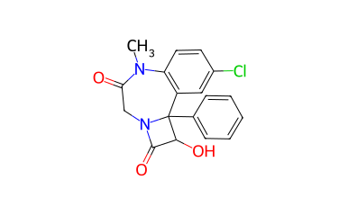 CN1C(=O)CN2C(=O)C(O)C2(c2ccccc2)c2cc(Cl)ccc21